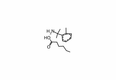 CCCCCC(=O)O.Cc1ccccc1C(C)(C)N